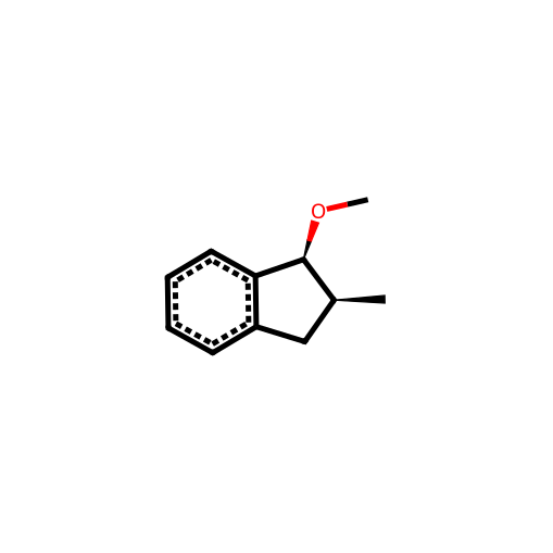 CO[C@@H]1c2ccccc2C[C@@H]1C